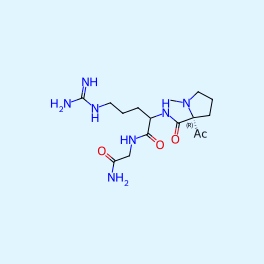 CC(=O)[C@@]1(C(=O)NC(CCCNC(=N)N)C(=O)NCC(N)=O)CCCN1C